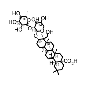 C[C@@H]1O[C@@H](O[C@H]2[C@H](O[C@H]3CC[C@]4(C)[C@H]5CC=C6[C@@H]7CC(C)(C)CC[C@]7(C(=O)O)CC[C@@]6(C)[C@]5(C)CC[C@@]4(C)[C@]3(C)CO)OC[C@H](O)[C@@H]2O)[C@H](O)[C@H](O)[C@H]1O